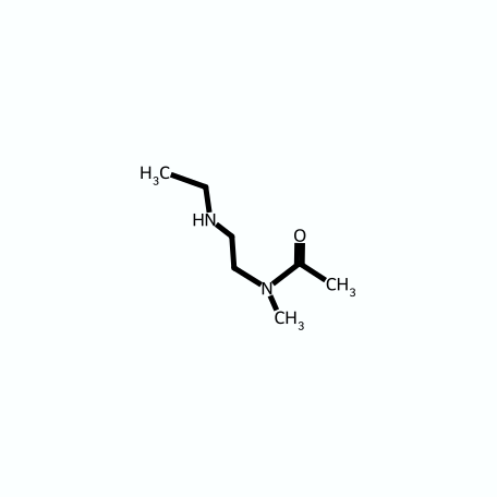 CCNCCN(C)C(C)=O